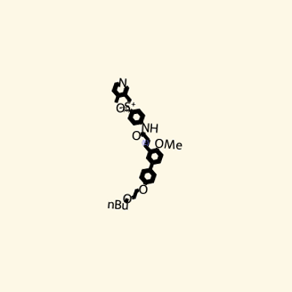 CCCCOCCOc1ccc(-c2ccc(OC)c(/C=C/C(=O)Nc3ccc([S@+]([O-])Cc4cnccc4C)cc3)c2)cc1